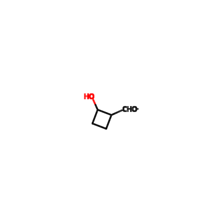 O=[C]C1CCC1O